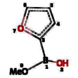 COB(O)c1ccco1